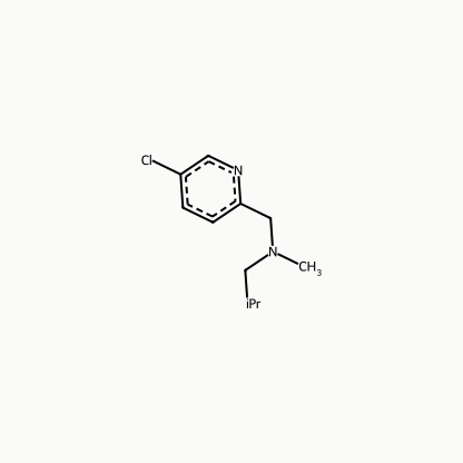 CC(C)CN(C)Cc1ccc(Cl)cn1